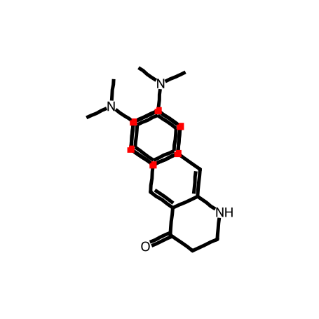 CN(C)c1ccc(/C=C2/NCCC(=O)/C2=C/c2ccc(N(C)C)cc2)cc1